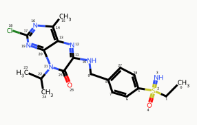 CCS(=N)(=O)c1ccc(CNc2nc3c(C)nc(Cl)nc3n(C(C)C)c2=O)cc1